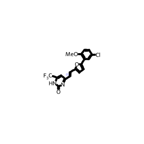 COc1ccc(Cl)cc1-c1ccc(/C=C/c2cc(C(F)(F)F)[nH]c(=O)n2)o1